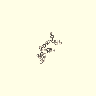 CC1(C)CCC(CN2CCN(c3ccc(C(=O)NSc4cc5c(c([N+](=O)[O-])c4)O[C@@H](CN4CCOCC4)CO5)c(Oc4cnc5[nH]ccc5c4)c3)CC2)=C(c2ccc(Cl)cc2)C1